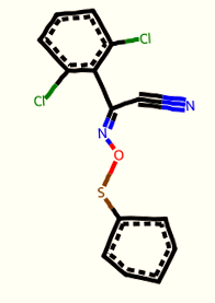 N#CC(=NOSc1ccccc1)c1c(Cl)cccc1Cl